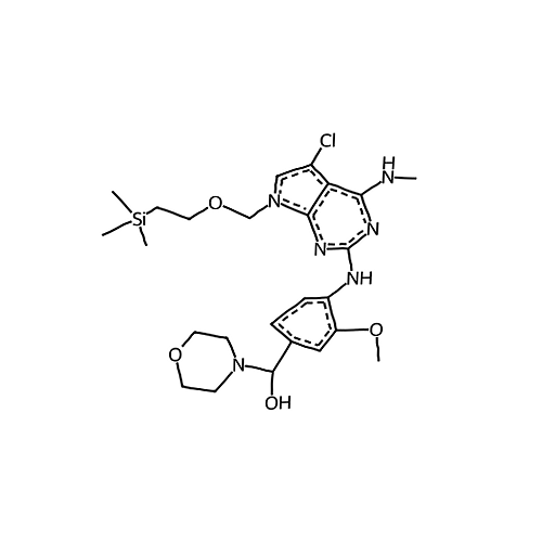 CNc1nc(Nc2ccc(C(O)N3CCOCC3)cc2OC)nc2c1c(Cl)cn2COCC[Si](C)(C)C